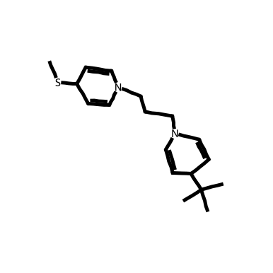 CSC1C=CN(CCCN2C=CC(C(C)(C)C)C=C2)C=C1